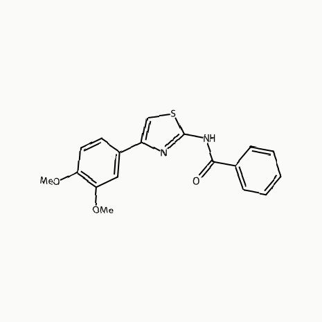 COc1ccc(-c2csc(NC(=O)c3ccccc3)n2)cc1OC